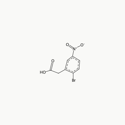 O=C(O)Cc1cc([N+](=O)[O-])ccc1Br